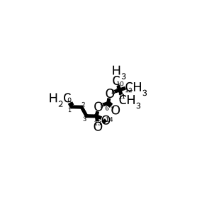 C=CCCC1(OC(=O)OC(C)(C)C)OO1